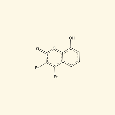 CCc1c(CC)c2cccc(O)c2oc1=O